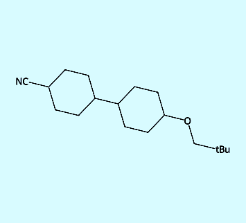 CC(C)(C)COC1CCC(C2CCC(C#N)CC2)CC1